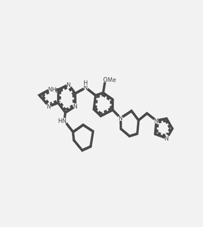 COc1cc(N2CCCC(Cn3ccnc3)C2)ccc1Nc1nc(NC2CCCCC2)c2nc[nH]c2n1